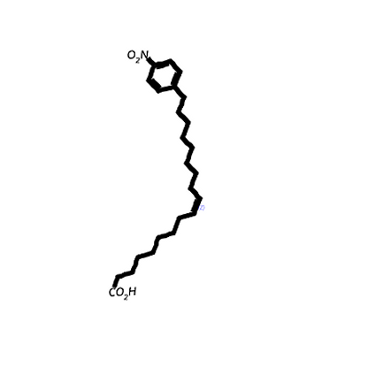 O=C(O)CCCCCCC/C=C\CCCCCCCCc1ccc([N+](=O)[O-])cc1